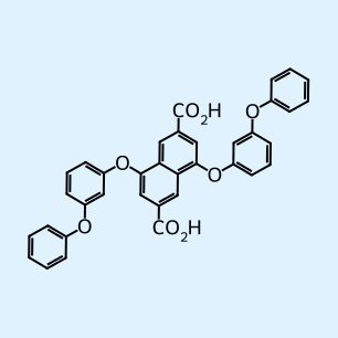 O=C(O)c1cc(Oc2cccc(Oc3ccccc3)c2)c2cc(C(=O)O)cc(Oc3cccc(Oc4ccccc4)c3)c2c1